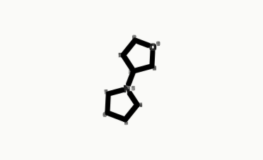 [CH]1CC(N2CCCC2)CO1